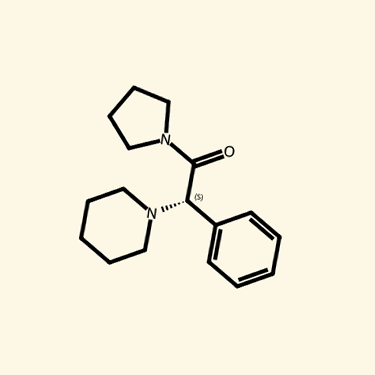 O=C([C@H](c1ccccc1)N1CCCCC1)N1CCCC1